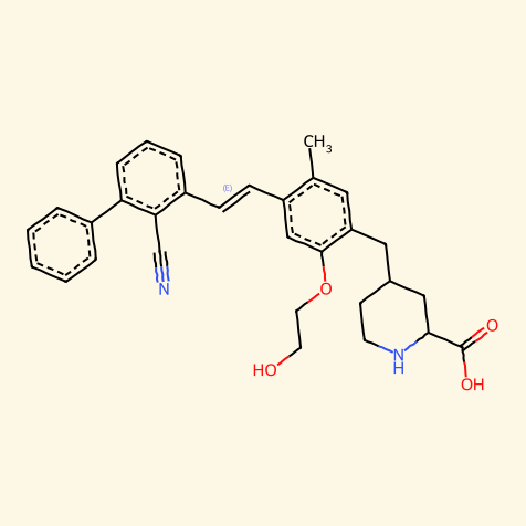 Cc1cc(CC2CCNC(C(=O)O)C2)c(OCCO)cc1/C=C/c1cccc(-c2ccccc2)c1C#N